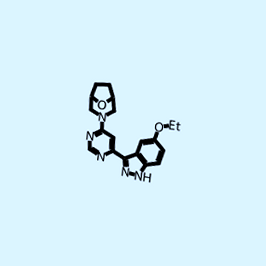 CCOc1ccc2[nH]nc(-c3cc(N4CC5CCC(C4)O5)ncn3)c2c1